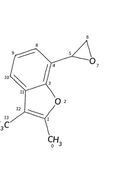 Cc1oc2c(C3CO3)cccc2c1C